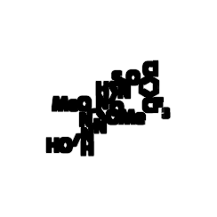 COc1nc(NCCO)nc(OC)c1NC(=O)c1csc(Oc2cc(C(F)(F)F)ccc2Cl)n1